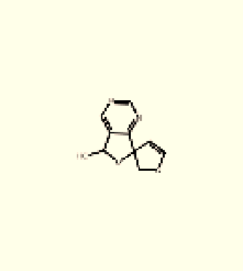 OC1OC2(C=COC2)c2ncncc21